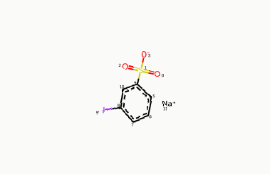 O=S(=O)([O-])c1cccc(I)c1.[Na+]